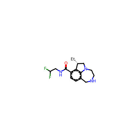 CC[C@@H]1CN2CCNCc3ccc(C(=O)NCC(F)F)c1c32